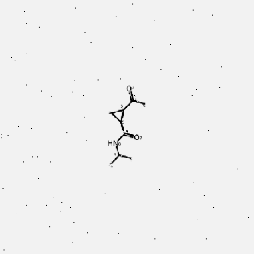 CC(=O)C1CC1C(=O)NC(C)C